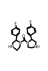 O=C(N1CCNCC1c1ccc(F)cc1)N1CCNCC1c1ccc(F)cc1